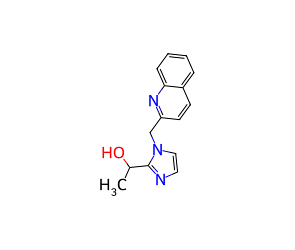 CC(O)c1nccn1Cc1ccc2ccccc2n1